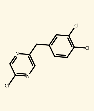 Clc1cnc(Cc2ccc(Cl)c(Cl)c2)cn1